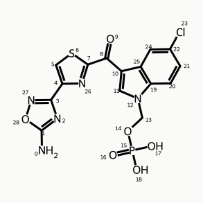 Nc1nc(-c2csc(C(=O)c3cn(COP(=O)(O)O)c4ccc(Cl)cc34)n2)no1